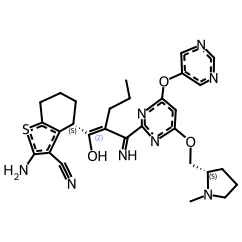 CCC/C(C(=N)c1nc(OC[C@@H]2CCCN2C)cc(Oc2cncnc2)n1)=C(/O)[C@H]1CCCc2sc(N)c(C#N)c21